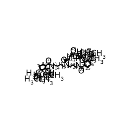 C[Si](C)(C)Oc1cccc(C(=O)NCCCCN(CCCNC(=O)c2cccc(O[Si](C)(C)C)c2O[Si](C)(C)C)C(=O)CCC(=O)Cl)c1O[Si](C)(C)C